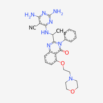 CC(Nc1nc(N)nc(N)c1C#N)c1nc2cccc(OCCN3CCOCC3)c2c(=O)n1-c1ccccc1